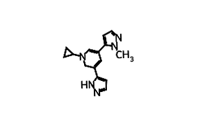 Cn1nccc1C1=CN(C2CC2)CC(c2ccn[nH]2)=C1